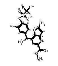 COC(=O)c1cc(C(C)c2ccc(OS(=O)(=O)C(F)(F)F)c(F)c2)c2oc(C)cc2n1